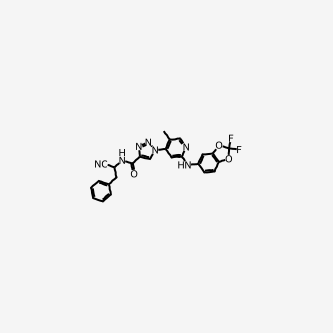 Cc1cnc(Nc2ccc3c(c2)OC(F)(F)O3)cc1-n1cc(C(=O)NC(C#N)Cc2ccccc2)nn1